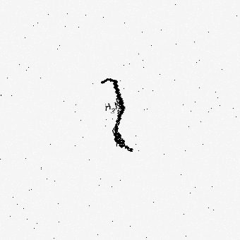 CCCCC/C=C\C/C=C\CCCCCCCCOC[C@@H](N)COCCCCCCCO[C@H]1CC[C@@]2(C)C(=CC[C@@H]3C2CC[C@@]2(C)C3CC[C@@H]2CCCCC(C)C)C1